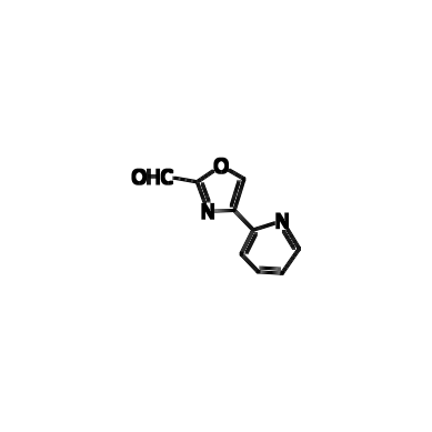 O=Cc1nc(-c2ccccn2)co1